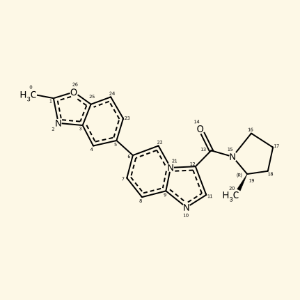 Cc1nc2cc(-c3ccc4ncc(C(=O)N5CCC[C@H]5C)n4c3)ccc2o1